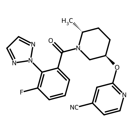 C[C@@H]1CC[C@@H](Oc2cc(C#N)ccn2)CN1C(=O)c1cccc(F)c1-n1nccn1